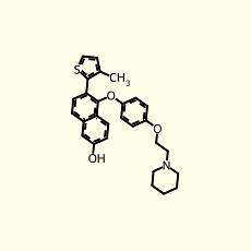 Cc1ccsc1-c1ccc2cc(O)ccc2c1Oc1ccc(OCCN2CCCCC2)cc1